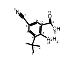 CC(C)(C)c1cc(C#N)cc(C(=O)O)c1[AsH2]